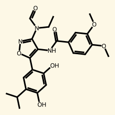 CCN(C=O)c1noc(-c2cc(C(C)C)c(O)cc2O)c1NC(=O)c1ccc(OC)c(OC)c1